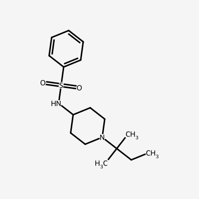 CCC(C)(C)N1CCC(NS(=O)(=O)c2ccccc2)CC1